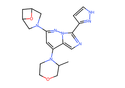 CC1COCCN1c1cc(N2CC3CC(C2)O3)nn2c(-c3cc[nH]n3)ncc12